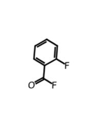 O=C(F)c1ccccc1F